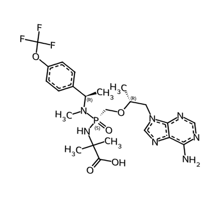 C[C@H](Cn1cnc2c(N)ncnc21)OC[P@](=O)(NC(C)(C)C(=O)O)N(C)[C@H](C)c1ccc(OC(F)(F)F)cc1